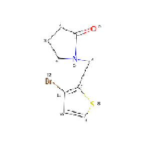 O=C1CCCN1Cc1sccc1Br